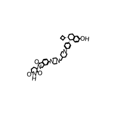 O=C1CCC(N2Cc3cc(N4CCN(CC5CCN(c6ccc([C@H]7c8ccc(O)cc8CC[C@H]7C7CCC7)cc6)CC5)CC4)ccc3C2=O)C(=O)N1